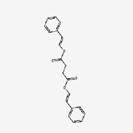 O=C(CCC(=O)OC=Cc1ccccc1)OC=Cc1ccccc1